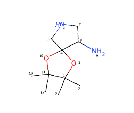 CC1(C)OC2(CNCC2N)OC1(C)C